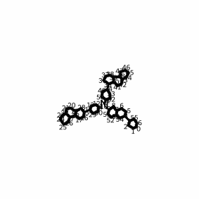 c1ccc(-c2ccc3cc(N(c4ccc(-c5ccc6c(ccc7ccccc76)c5)cc4)c4ccc(-c5cccc6c5ccc5ccccc56)cc4)ccc3c2)cc1